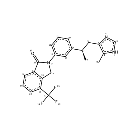 Cc1[nH]cnc1C[C@@H](C)c1cccc(N2Cc3c(cccc3C(F)(F)F)C2=O)c1